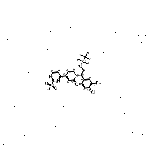 CC(C)(C)[Si](C)(C)OCC(c1ccc(Cl)c(F)c1)n1ccc(-c2ccnc(S(C)(=O)=O)n2)cc1=O